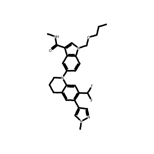 CCCOCn1cc(C(=O)NC)c2cc(N3CCCc4cc(-c5cnn(C)c5)c(C(F)F)cc43)ccc21